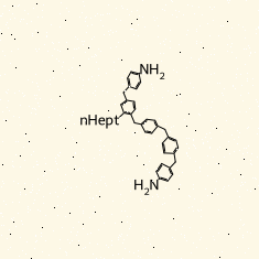 CCCCCCCc1cc(Cc2ccc(N)cc2)ccc1Cc1ccc(Cc2ccc(Cc3ccc(N)cc3)cc2)cc1